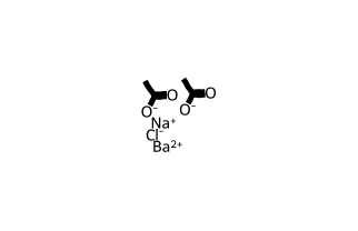 CC(=O)[O-].CC(=O)[O-].[Ba+2].[Cl-].[Na+]